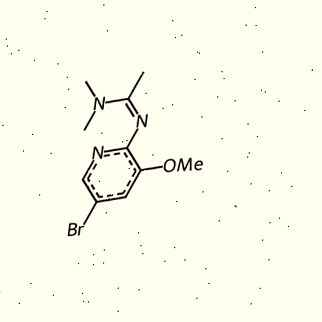 COc1cc(Br)cnc1N=C(C)N(C)C